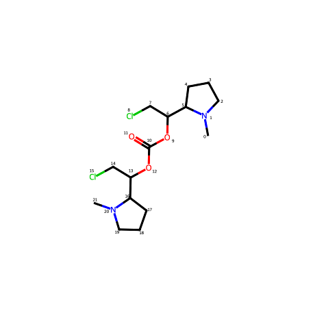 CN1CCCC1C(CCl)OC(=O)OC(CCl)C1CCCN1C